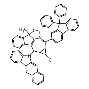 CC1C2C(c3ccc4c(c3)C(c3ccccc3)(c3ccccc3)c3ccccc3-4)=NC3=C(c4ccccc4C3(C)C)C(n3c4ccccc4c4cc5ccccc5cc43)C12